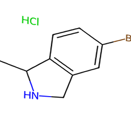 CC1NCc2cc(Br)ccc21.Cl